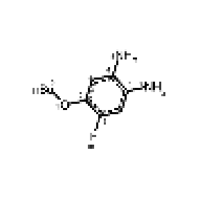 CCCCOc1cc(N)c(N)cc1F